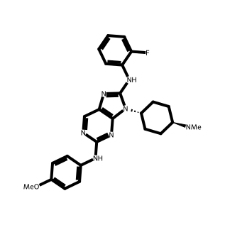 CN[C@H]1CC[C@H](n2c(Nc3ccccc3F)nc3cnc(Nc4ccc(OC)cc4)nc32)CC1